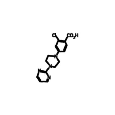 O=C(O)c1ccc(N2CCN(c3ncccn3)CC2)cc1Cl